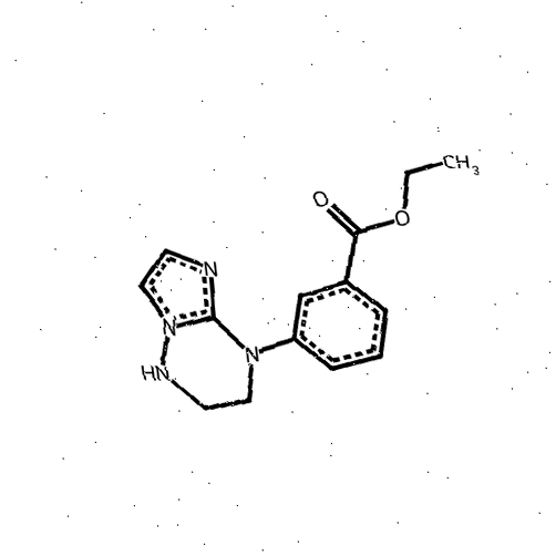 CCOC(=O)c1cccc(N2CCNn3ccnc32)c1